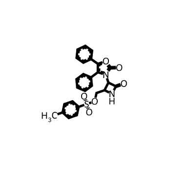 Cc1ccc(S(=O)(=O)OCC2NC(=O)C2n2c(-c3ccccc3)c(-c3ccccc3)oc2=O)cc1